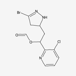 O=COC(CC1CC(Br)=NN1)c1ncccc1Cl